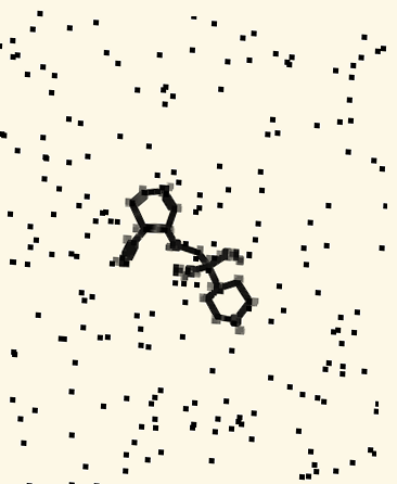 CC(C)(COc1cnccc1C#N)N1CCOCC1